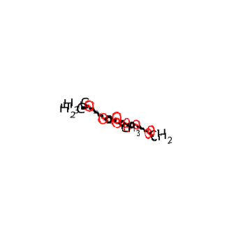 C=CC(=O)OCCCCCCOC1CCC(C(=O)Oc2ccc(OC(=O)C3CCC(OCCCCCCOC(C)C=C)CC3)cc2C)CC1